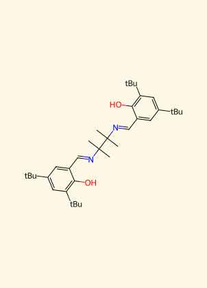 CC(C)(C)c1cc(C=NC(C)(C)C(C)(C)N=Cc2cc(C(C)(C)C)cc(C(C)(C)C)c2O)c(O)c(C(C)(C)C)c1